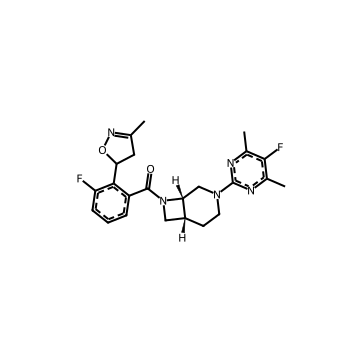 CC1=NOC(c2c(F)cccc2C(=O)N2C[C@H]3CCN(c4nc(C)c(F)c(C)n4)C[C@H]32)C1